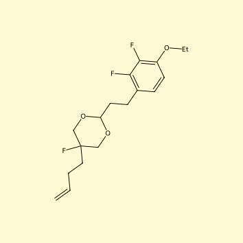 C=CCCC1(F)COC(CCc2ccc(OCC)c(F)c2F)OC1